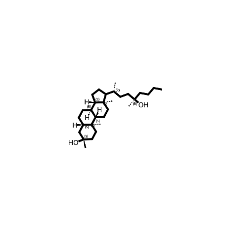 CCCC[C@@](C)(O)CC[C@@H](C)C1CC[C@H]2[C@@H]3CC[C@H]4C[C@@](C)(O)CC[C@]4(C)[C@H]3CC[C@]12C